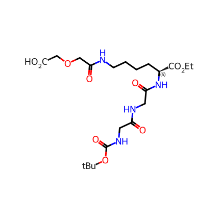 CCOC(=O)[C@H](CCCCNC(=O)COCC(=O)O)NC(=O)CNC(=O)CNC(=O)OC(C)(C)C